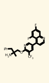 CC(C)CC(C)(N)COc1ncc(-c2ccnc3cc(F)cc(F)c23)cc1C(F)(F)F